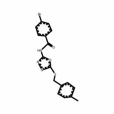 Cc1ccc(CSc2nnc(NC(=O)c3ccc(Br)cc3)o2)cc1